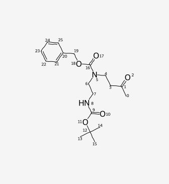 CC(=O)CCN(CCNC(=O)OC(C)(C)C)C(=O)OCc1ccccc1